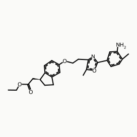 CCOC(=O)C[C@@H]1CCc2cc(OCCc3nc(-c4ccc(C)c(N)c4)oc3C)ccc21